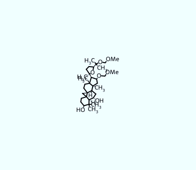 COCO[C@H]1C[C@@]2(C)[C@@H]3C[C@H](O)[C@H]4C(C)(C)[C@@H](O)CCC45C[C@@]35CC[C@]2(C)[C@H]1[C@@]1(C)CC[C@@H](C(C)(C)OCOC)O1